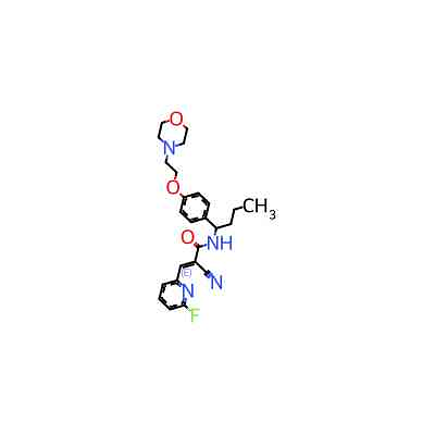 CCCC(NC(=O)/C(C#N)=C/c1cccc(F)n1)c1ccc(OCCN2CCOCC2)cc1